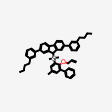 C=CCOc1c(-c2ccccc2)cc(C)cc1[Si](C)(C)C1c2cc(-c3cccc(CCCC)c3)ccc2-c2ccc(-c3cccc(CCCC)c3)cc21